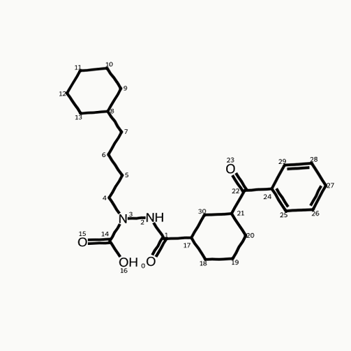 O=C(NN(CCCCC1CCCCC1)C(=O)O)C1CCCC(C(=O)c2ccccc2)C1